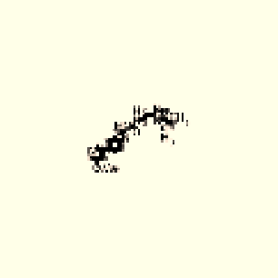 COc1cncc(-c2ccc3nc(NC(=O)NCCc4noc(C(C)(C)F)n4)sc3c2)c1